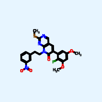 COc1cc(OC)c(F)c(-c2cc3cnc(SC)nc3n(CCc3cccc([N+](=O)[O-])c3)c2=O)c1